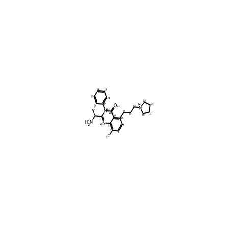 C[C@H](N)c1nc2c(F)ccc(CCCN3CCCC3)c2c(=O)n1-c1ccccc1